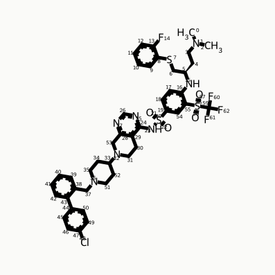 CN(C)CC[C@H](CSc1ccccc1F)Nc1ccc(S(=O)(=O)Nc2ncnc3c2CCN(C2CCN(Cc4ccccc4-c4ccc(Cl)cc4)CC2)C3)cc1S(=O)(=O)C(F)(F)F